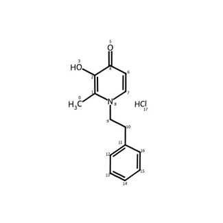 Cc1c(O)c(=O)ccn1CCc1ccccc1.Cl